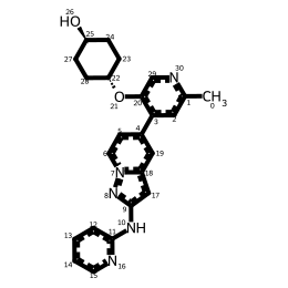 Cc1cc(-c2ccn3nc(Nc4ccccn4)cc3c2)c(O[C@H]2CC[C@H](O)CC2)cn1